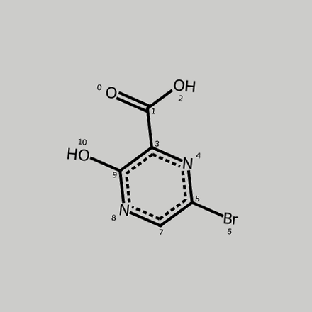 O=C(O)c1nc(Br)cnc1O